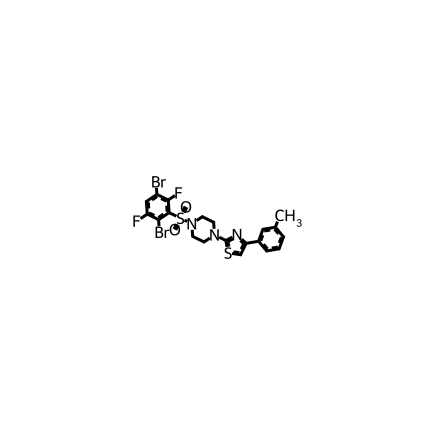 Cc1cccc(-c2csc(N3CCN(S(=O)(=O)c4c(F)c(Br)cc(F)c4Br)CC3)n2)c1